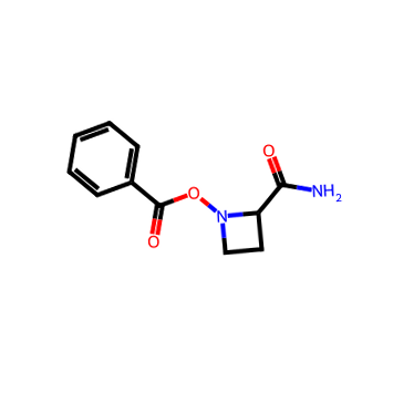 NC(=O)C1CCN1OC(=O)c1ccccc1